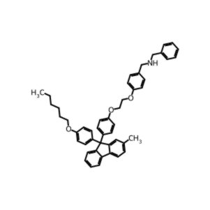 CCCCCCOc1ccc(C2(c3ccc(OCCOc4ccc(CNCc5ccccc5)cc4)cc3)c3ccccc3-c3ccc(C)cc32)cc1